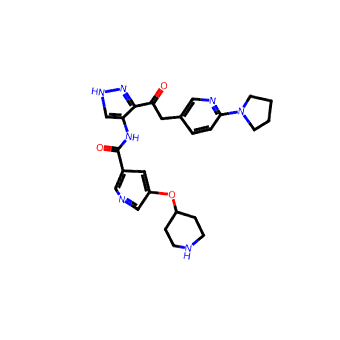 O=C(Nc1c[nH]nc1C(=O)Cc1ccc(N2CCCC2)nc1)c1cncc(OC2CCNCC2)c1